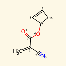 C=C(C#N)C(=O)OC1C=CC1